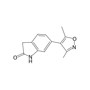 Cc1noc(C)c1-c1ccc2c(c1)NC(=O)C2